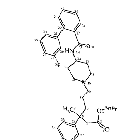 CCCOC(=O)CC(C)(CCCN1CCC(NC(=O)c2ccccc2-c2cccc(F)c2)CC1)c1ccccc1